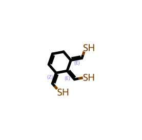 S/C=C1/C=CCC(=C\S)/C1=C\S